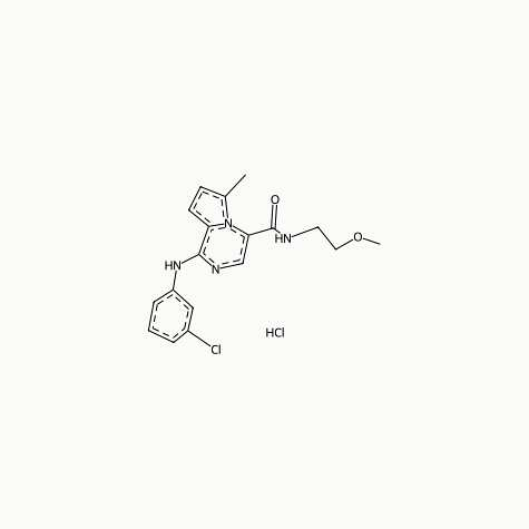 COCCNC(=O)c1cnc(Nc2cccc(Cl)c2)c2ccc(C)n12.Cl